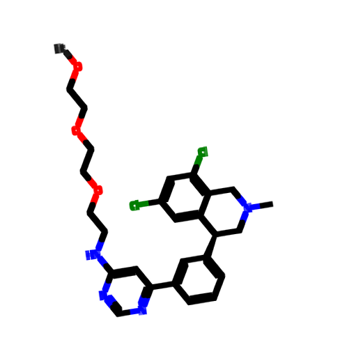 [CH2]COCCOCCOCCNc1cc(-c2cccc([C@@H]3CN(C)Cc4c(Cl)cc(Cl)cc43)c2)ncn1